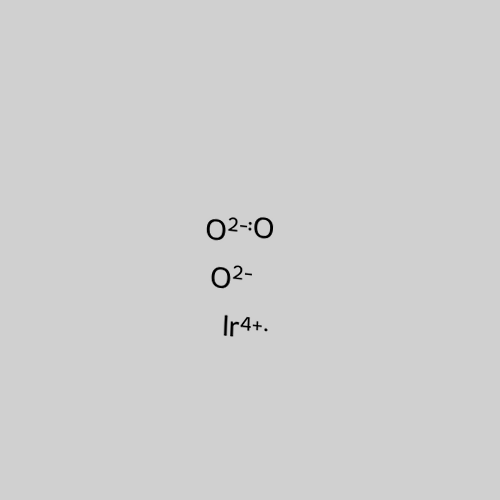 [Ir+4].[O-2].[O-2].[O]